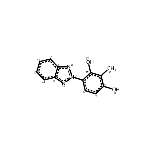 Cc1c(O)ccc(-n2nc3ccccc3n2)c1O